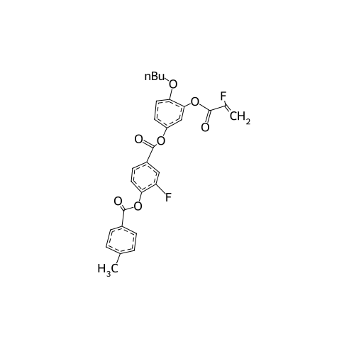 C=C(F)C(=O)Oc1cc(OC(=O)c2ccc(OC(=O)c3ccc(C)cc3)c(F)c2)ccc1OCCCC